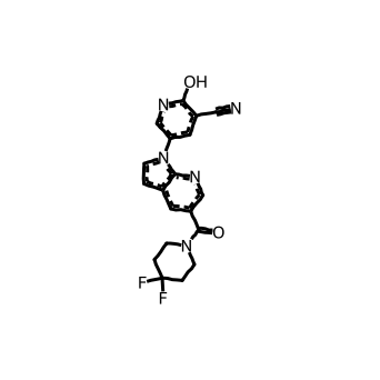 N#Cc1cc(-n2ccc3cc(C(=O)N4CCC(F)(F)CC4)cnc32)cnc1O